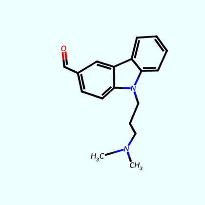 CN(C)CCCn1c2ccccc2c2cc(C=O)ccc21